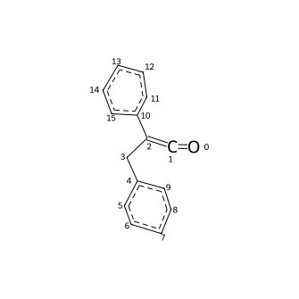 O=C=C(Cc1ccccc1)c1ccccc1